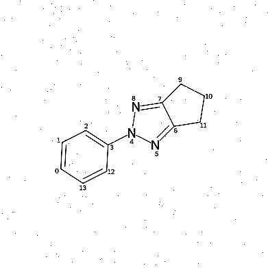 c1ccc(-n2nc3c(n2)CCC3)cc1